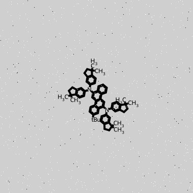 CC(C)(C)c1ccc2c(c1)c(N(c1ccc3c(c1)CCC3(C)C)c1ccc3c(c1)C(C)(C)CC3)cc1c3ccccc3c(N(c3ccc4c(c3)CCC4(C)C)c3ccc4c(c3)CCC4(C)C)cc21